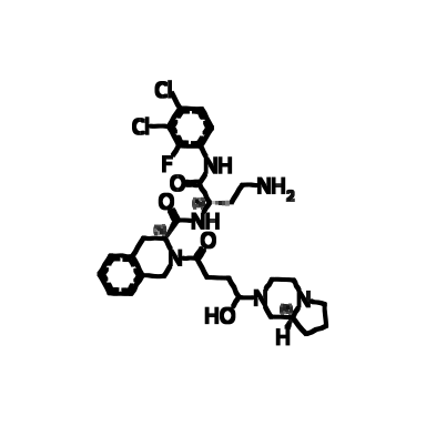 NCC[C@H](NC(=O)[C@@H]1Cc2ccccc2CN1C(=O)CCC(O)N1CCN2CCC[C@@H]2C1)C(=O)Nc1ccc(Cl)c(Cl)c1F